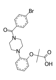 CC(C)(Oc1ccccc1N1CCN(C(=O)c2ccc(Br)cc2)CC1)C(=O)O